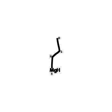 CC[CH2][MgH]